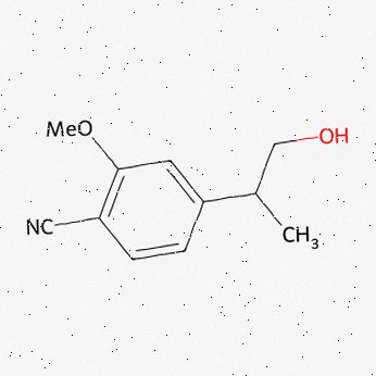 COc1cc(C(C)CO)ccc1C#N